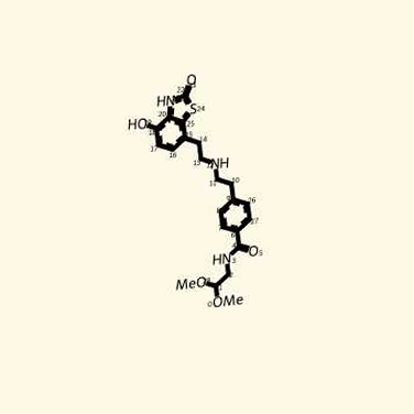 COC(CNC(=O)c1ccc(CCNCCc2ccc(O)c3[nH]c(=O)sc23)cc1)OC